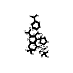 CC(C)c1ccc([C@H]2OC3(CCCC3)c3c4c(nc(C(C)C)c32)CC(C)(C)CC4O[Si](C)(C)C(C)(C)C)cc1